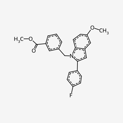 COC(=O)c1cccc(Cn2c(-c3ccc(F)cc3)cc3cc(OC)ccc32)c1